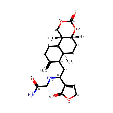 C=C1CCC2[C@@](C)(CC[C@H]3OC(=O)OC[C@@]23C)C1CC(NCC(N)=O)C1=CCOC1=O